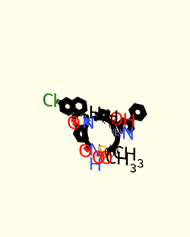 C[C@@H]1[C@@H](C)C/C=C/[C@@](O)(c2cncc(-c3ccccc3)c2)[C@@H]2CC[C@H]2CN2C[C@@]3(CCCc4cc(Cl)ccc43)COc3ccc(cc32)C(=O)NS1(=O)=O